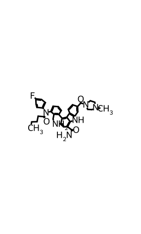 CCCCC(=O)N(c1ccc(F)cc1)c1cccc(-c2ccc(C(N)=O)c3[nH]c4cc(C(=O)N5CCN(C)CC5)ccc4c23)c1CN